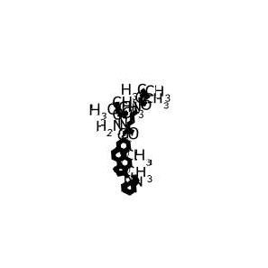 CC(C)(C)OC(=O)NCCCC(C(=O)O[C@H]1CC[C@@]2(C)C(=CCC3C2CC[C@]2(C)C(n4cnc5ccccc54)=CCC32)C1)N(N)C(=O)OC(C)(C)C